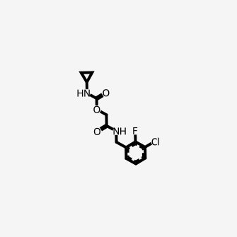 O=C(COC(=O)NC1CC1)NCc1cccc(Cl)c1F